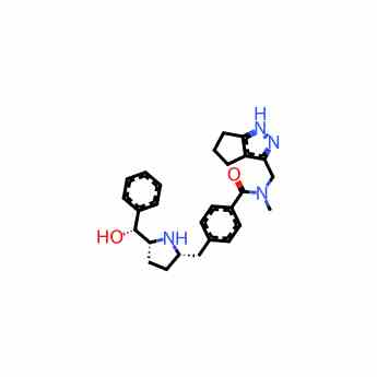 CN(Cc1n[nH]c2c1CCC2)C(=O)c1ccc(C[C@@H]2CC[C@H]([C@H](O)c3ccccc3)N2)cc1